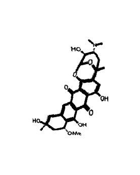 CO[C@@H]1C[C@](C)(O)Cc2cc3c(c(O)c21)C(=O)c1c(O)cc2c(c1C3=O)OC1OC2(C)C[C@@H](N(C)C)[C@@H]1O